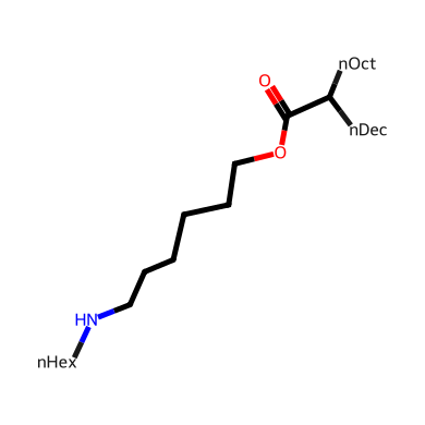 CCCCCCCCCCC(CCCCCCCC)C(=O)OCCCCCCNCCCCCC